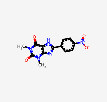 Cn1c(=O)c2[nH]c(-c3ccc([N+](=O)[O-])cc3)nc2n(C)c1=O